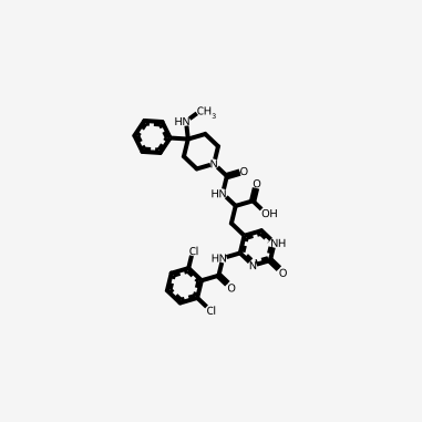 CNC1(c2ccccc2)CCN(C(=O)NC(Cc2c[nH]c(=O)nc2NC(=O)c2c(Cl)cccc2Cl)C(=O)O)CC1